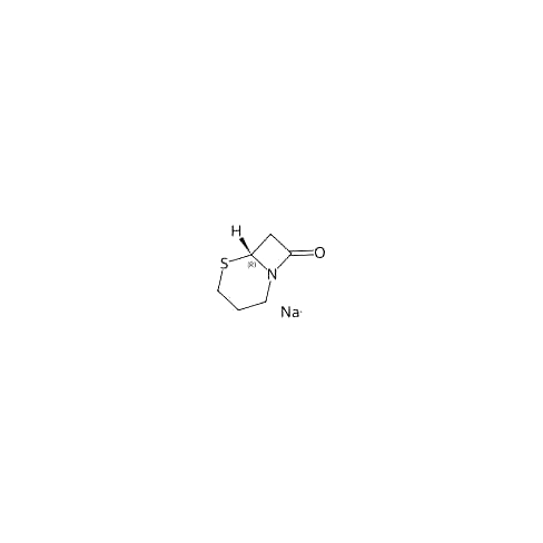 O=C1C[C@H]2SCCCN12.[Na]